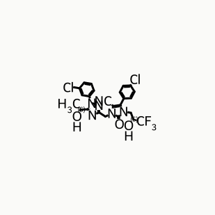 C[C@H](O)c1nc(Cn2c(C#N)c(-c3ccc(Cl)cc3)n(C[C@H](O)C(F)(F)F)c2=O)nn1-c1cccc(Cl)c1